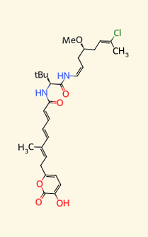 CO[C@H](C/C=C\NC(=O)[C@@H](NC(=O)/C=C/C=C/C(C)=C/Cc1ccc(O)c(=O)o1)C(C)(C)C)C/C=C(\C)Cl